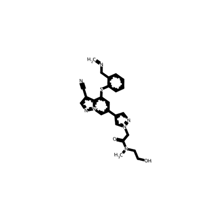 C=NCc1ccccc1Sc1cc(-c2cnn(CC(=O)N(C)CCO)c2)cn2ncc(C#N)c12